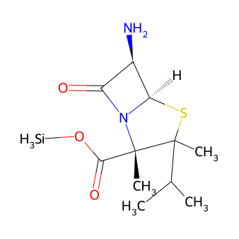 CC(C)C1(C)S[C@@H]2[C@H](N)C(=O)N2[C@@]1(C)C(=O)O[SiH3]